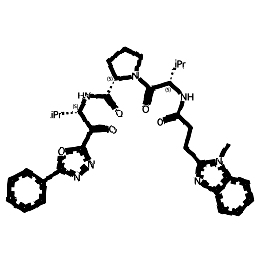 CC(C)[C@H](NC(=O)[C@@H]1CCCN1C(=O)[C@@H](NC(=O)CCc1nc2ccccc2n1C)C(C)C)C(=O)c1nnc(-c2ccccc2)o1